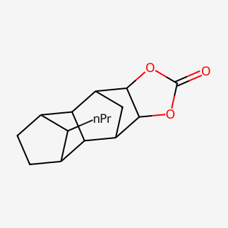 CCCC1C2CCC1C1C3CC(C4OC(=O)OC34)C21